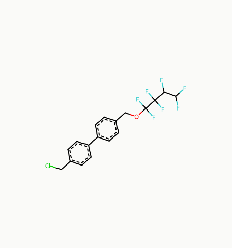 FC(F)C(F)C(F)(F)C(F)(F)OCc1ccc(-c2ccc(CCl)cc2)cc1